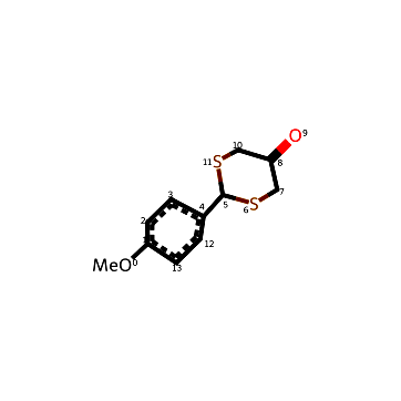 COc1ccc(C2SCC(=O)CS2)cc1